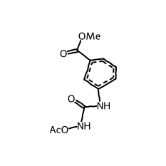 COC(=O)c1cccc(NC(=O)NOC(C)=O)c1